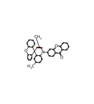 Cc1ccc2c(c1)C1(c3ccccc3Oc3ccccc31)c1cc(C)ccc1N2c1ccc2c(=O)c3ccccc3oc2c1